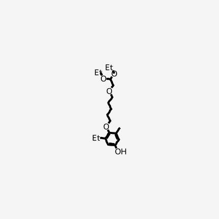 CCOC(COCCCCCOc1c(C)cc(O)cc1CC)OCC